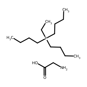 CCCC[P](CC)(CCCC)CCCC.NCC(=O)O